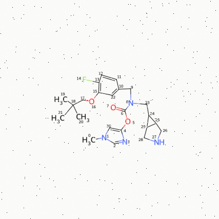 Cn1cnc(OC(=O)N(Cc2ccc(F)c(OCC(C)(C)C)c2)CC2C3CNCC32)c1